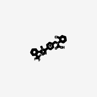 Cn1c(-c2ccccc2C(F)(F)F)nnc1C12CCC(CN(C(=O)O)c3ccccc3Cl)(CC1)CC2